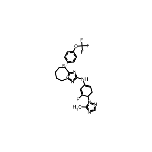 Cc1ncnn1C1CC=C(Nc2nc3n(n2)CCCC[C@@H]3c2ccc(OC(F)(F)F)cc2)C=C1F